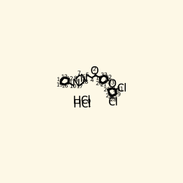 Cl.Cl.O=C(CCN1CCN(Cc2ccccc2)CC1)c1ccc(Oc2ccc(Cl)cc2Cl)cc1